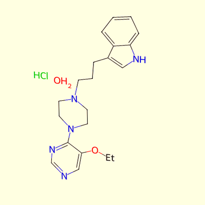 CCOc1cncnc1N1CCN(CCCc2c[nH]c3ccccc23)CC1.Cl.O